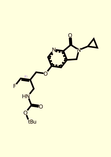 CC(C)(C)OC(=O)NC/C(=C\F)COc1cnc2c(c1)CN(C1CC1)C2=O